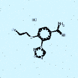 CC(C)CCOc1ccc(C(=N)N)cc1-n1cnnn1.Cl